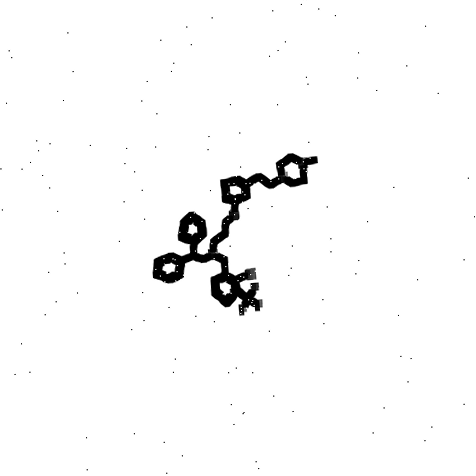 CN1CCN(CCc2cccc(OCCCN(Cc3cccc(C(F)(F)F)c3Cl)CC(c3ccccc3)c3ccccc3)c2)CC1